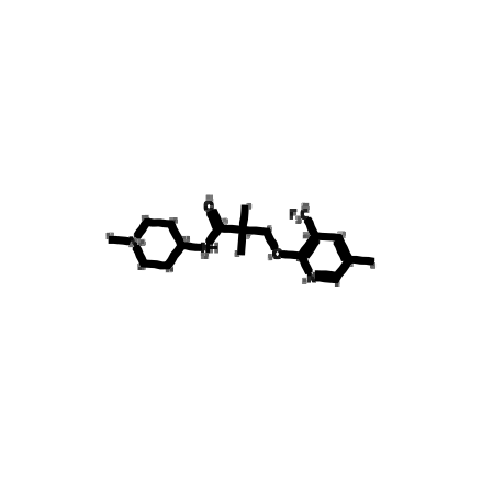 Cc1cnc(OCC(C)(C)C(=O)NC2CCN(C)CC2)c(C(F)(F)F)c1